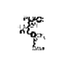 COCCCOc1cc(C[C@@H](C[C@H](N)[C@@H](O)C[C@H](C(=O)NC2CCOCC2)C(C)C)C(C)C)ccc1C(F)(F)F